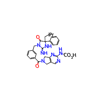 CC(C)CC1(c2ccccc2)NC(=N)N(Cc2cccc(C(=O)N3Cc4cnc(NC(=O)O)nc4C3)c2)C1=O